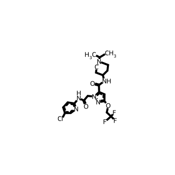 CC(C)N1CCC(NC(=O)c2cc(OCC(F)(F)F)nn2CC(=O)Nc2ccc(Cl)cn2)CC1